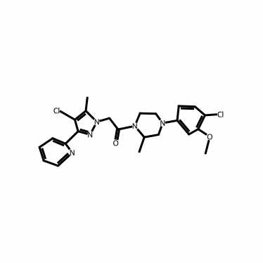 COc1cc(N2CCN(C(=O)Cn3nc(-c4ccccn4)c(Cl)c3C)C(C)C2)ccc1Cl